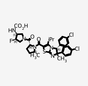 CC(C)C1=C(C(=O)N2[C@H](C)CC[C@@H]2C(=O)N2C[C@@H](F)[C@@H](NC(=O)O)C2)SC2=N[C@@](C)(c3ccc(Cl)cc3)[C@@H](c3ccc(Cl)cc3)N21